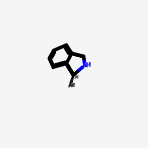 CC(=O)[C@@H]1NCc2ccccc21